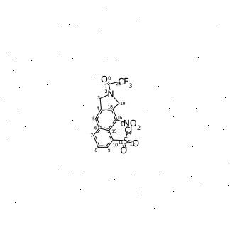 O=C(N1Cc2cc3cccc(S(=O)(=O)Cl)c3c([N+](=O)[O-])c2C1)C(F)(F)F